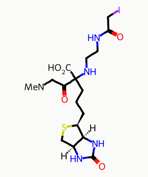 CNCC(=O)C(CCC[C@@H]1SC[C@@H]2NC(=O)N[C@@H]21)(NCCNC(=O)CI)C(=O)O